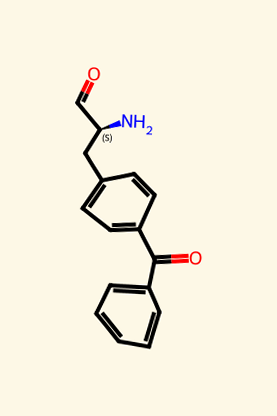 N[C@H](C=O)Cc1ccc(C(=O)c2ccccc2)cc1